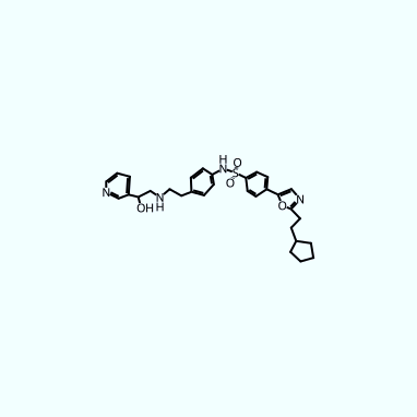 O=S(=O)(Nc1ccc(CCNCC(O)c2cccnc2)cc1)c1ccc(-c2cnc(CCC3CCCC3)o2)cc1